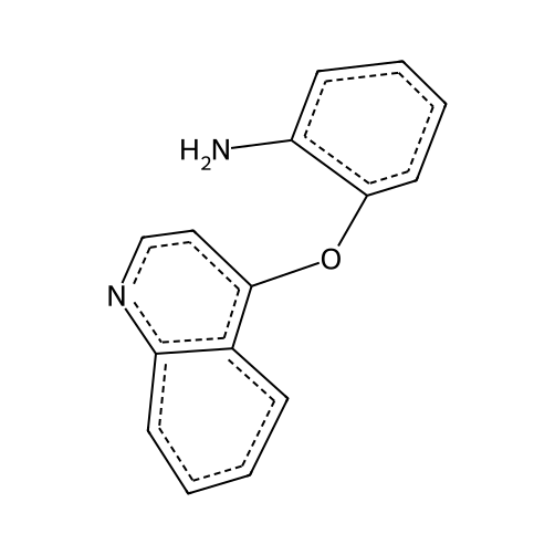 Nc1ccccc1Oc1ccnc2ccccc12